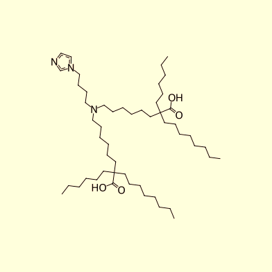 CCCCCCCCC(CCCCCC)(CCCCCCN(CCCCCCC(CCCCCC)(CCCCCCCC)C(=O)O)CCCCn1ccnc1)C(=O)O